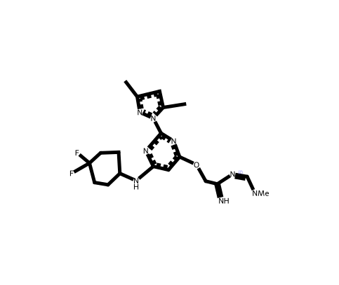 CN/C=N\C(=N)COc1cc(NC2CCC(F)(F)CC2)nc(-n2nc(C)cc2C)n1